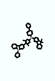 Cc1cc(N(c2ccc(-c3ccccc3)cc2)c2ccc3c(c2)-c2ccccc2C3(C)C)cc(C)c1-c1ccc2c(c1)c1ccccc1n2-c1ccccc1